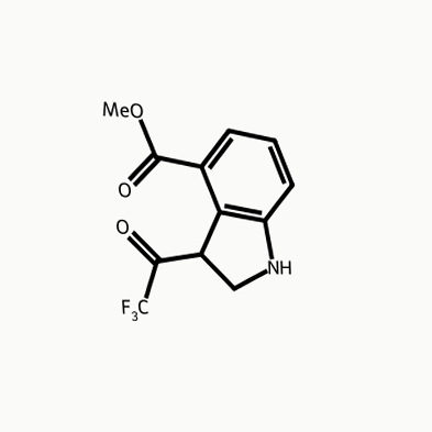 COC(=O)c1cccc2c1C(C(=O)C(F)(F)F)CN2